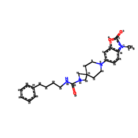 Cn1c(=O)oc2cc(N3CCC4(CC3)CN(C(=O)NCCCCc3ccccc3)C4)ccc21